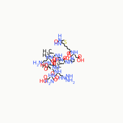 CC(C)C[C@H](NC(=O)CNC(=O)[C@H](CC(C)C)NC(=O)[C@@H]1CCCN1C(=O)[C@H](CCC(=O)O)NC(=O)CCCCC1SCC2NC(=O)NC21)C(=O)N[C@@H](CCCCN)C(=O)N[C@@H](C)C(=O)N[C@@H](CCC(=O)O)C(=O)N[C@@H](CCCNC(=N)N)C(=O)N[C@@H](CCC(=O)O)C(N)=O